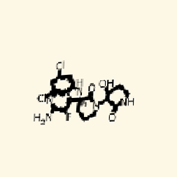 Nc1ncnc([C@]2(Nc3cc(Cl)cc(Cl)c3)CCCN(C3C(=O)NCCC3O)C2=O)c1F